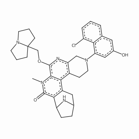 Cn1c(=O)c2c(c3c4c(nc(OCC56CCCN5CCC6)c31)CN(c1cc(O)cc3cccc(Cl)c13)CC4)CC1CCC2N1